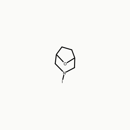 IN1CC2CCC(C1)O2